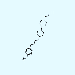 CCC[Si@H]1CC[C@H]([C@H]2CC[C@H](CCCCc3ccc(OC(F)(F)Cl)c(F)c3)CC2)CC1